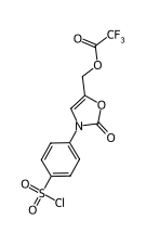 O=C(OCc1cn(-c2ccc(S(=O)(=O)Cl)cc2)c(=O)o1)C(F)(F)F